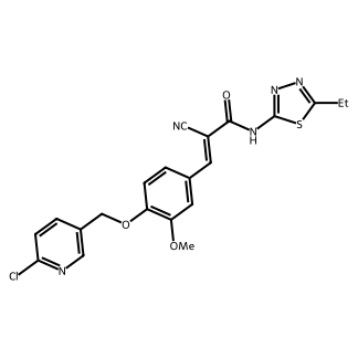 CCc1nnc(NC(=O)/C(C#N)=C/c2ccc(OCc3ccc(Cl)nc3)c(OC)c2)s1